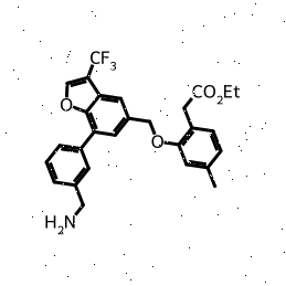 CCOC(=O)Cc1ccc(C)cc1OCc1cc(-c2cccc(CN)c2)c2occ(C(F)(F)F)c2c1